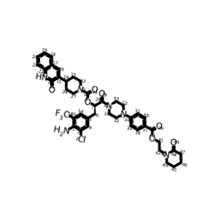 Nc1c(Cl)cc(C[C@@H](OC(=O)N2CCC(c3cc4ccccc4[nH]c3=O)CC2)C(=O)N2CCN(c3ccc(C(=O)OCCN4CCCCC4=O)cc3)CC2)cc1C(F)(F)F